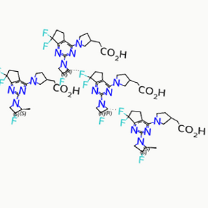 C[C@@H]1[C@H](F)CN1c1nc(N2CCC(CC(=O)O)C2)c2c(n1)C(F)(F)CC2.C[C@@H]1[C@H](F)CN1c1nc(N2CCC(CC(=O)O)C2)c2c(n1)C(F)(F)CC2.C[C@H]1[C@@H](F)CN1c1nc(N2CCC(CC(=O)O)C2)c2c(n1)C(F)(F)CC2.C[C@H]1[C@@H](F)CN1c1nc(N2CCC(CC(=O)O)C2)c2c(n1)C(F)(F)CC2